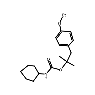 CCOc1ccc(CC(C)(C)OC(=O)NC2CCCCC2)cc1